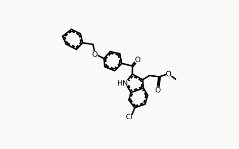 COC(=O)Cc1c(C(=O)c2ccc(OCc3ccccc3)cc2)[nH]c2cc(Cl)ccc12